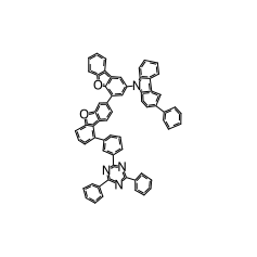 c1ccc(-c2ccc3c(c2)c2ccccc2n3-c2cc(-c3ccc4c(c3)oc3cccc(-c5cccc(-c6nc(-c7ccccc7)nc(-c7ccccc7)n6)c5)c34)c3oc4ccccc4c3c2)cc1